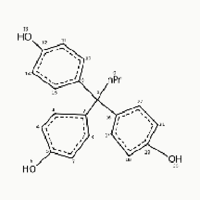 CCCC(c1ccc(O)cc1)(c1ccc(O)cc1)c1ccc(O)cc1